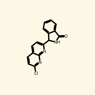 O=C1NC(c2ccc3ccc(Cl)nc3n2)c2ccccc21